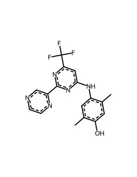 Cc1cc(Nc2cc(C(F)(F)F)nc(-c3cnccn3)n2)c(C)cc1O